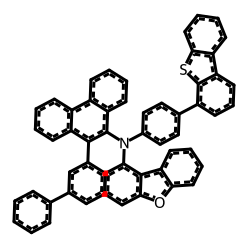 c1ccc(-c2cccc(-c3c(N(c4ccc(-c5cccc6c5sc5ccccc56)cc4)c4cccc5oc6ccccc6c45)c4ccccc4c4ccccc34)c2)cc1